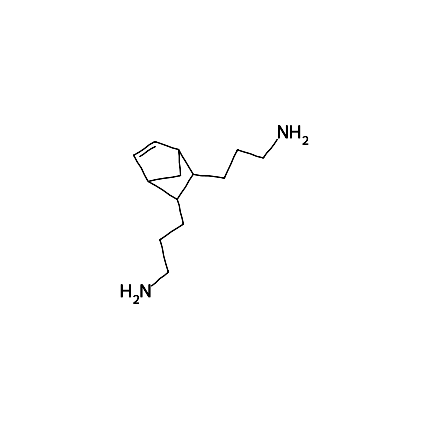 NCCCC1C2C=CC(C2)C1CCCN